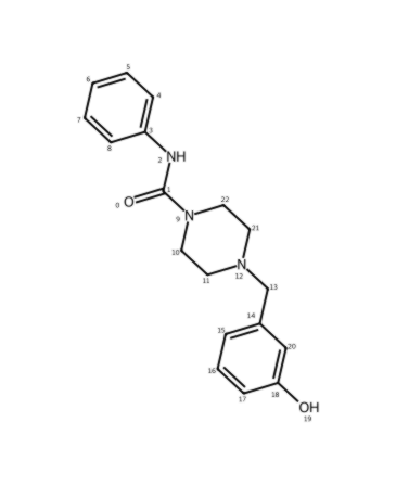 O=C(Nc1ccccc1)N1CCN(Cc2cccc(O)c2)CC1